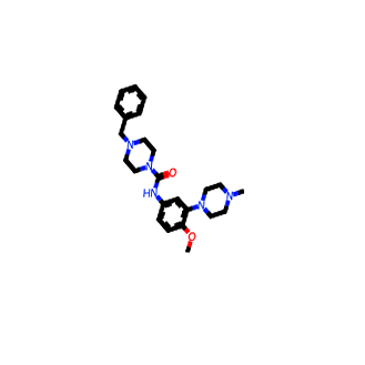 COc1ccc(NC(=O)N2CCN(Cc3ccccc3)CC2)cc1N1CCN(C)CC1